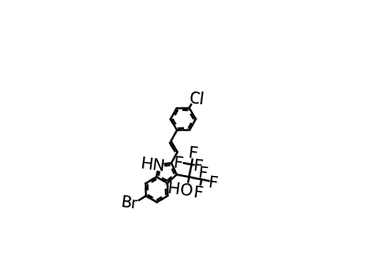 OC(c1c(/C=C/c2ccc(Cl)cc2)[nH]c2cc(Br)ccc12)(C(F)(F)F)C(F)(F)F